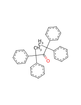 CC(C(=O)C(C)(c1ccccc1)c1ccccc1)(c1ccccc1)c1ccccc1